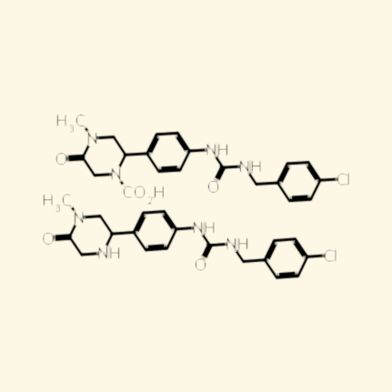 CN1CC(c2ccc(NC(=O)NCc3ccc(Cl)cc3)cc2)N(C(=O)O)CC1=O.CN1CC(c2ccc(NC(=O)NCc3ccc(Cl)cc3)cc2)NCC1=O